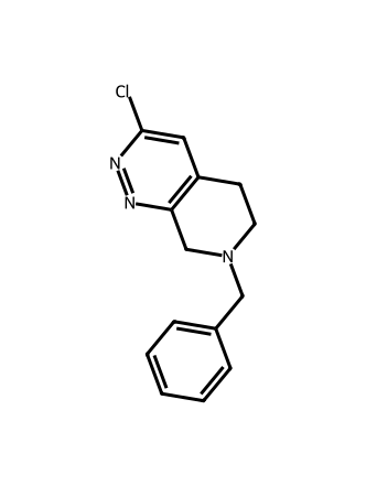 Clc1cc2c(nn1)CN(Cc1ccccc1)CC2